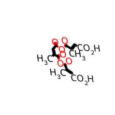 C/C(=C/C(=O)OC(=O)/C(C)=C/C(=O)O)C(=O)OC(=O)/C(C)=C/C(=O)O